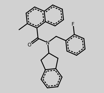 Cc1ccc2ccccc2c1C(=O)N(Cc1ccccc1F)C1Cc2ccccc2C1